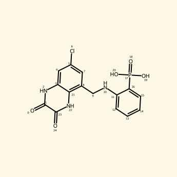 O=c1[nH]c2cc(Cl)cc(CNc3ccccc3P(=O)(O)O)c2[nH]c1=O